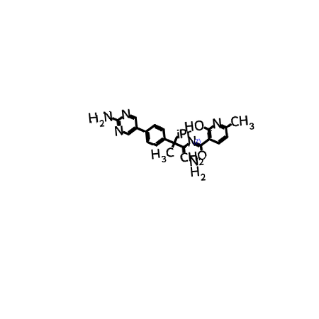 C=C(/N=C(\ON)c1ccc(C)nc1O)C(C)(c1ccc(-c2cnc(N)nc2)cc1)C(C)C